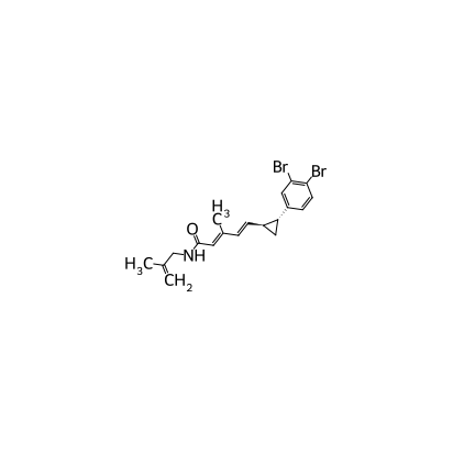 C=C(C)CNC(=O)/C=C(C)/C=C/[C@@H]1C[C@H]1c1ccc(Br)c(Br)c1